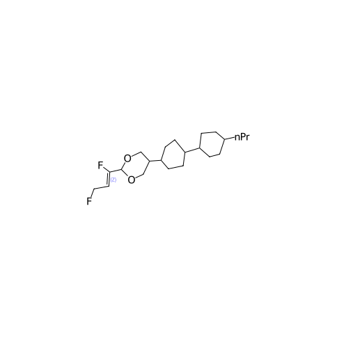 CCCC1CCC(C2CCC(C3COC(/C(F)=C/CF)OC3)CC2)CC1